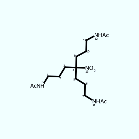 CC(=O)NCCCC(CCCNC(C)=O)(CCCNC(C)=O)[N+](=O)[O-]